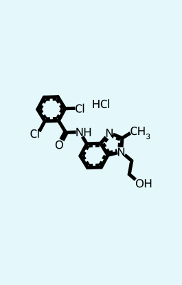 Cc1nc2c(NC(=O)c3c(Cl)cccc3Cl)cccc2n1CCO.Cl